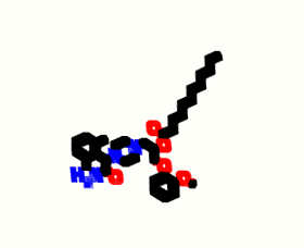 CCCCCCCCCCCC(=O)OC(COc1ccccc1OC)CN1CCN(C(C(N)=O)c2c(C)cccc2C)CC1